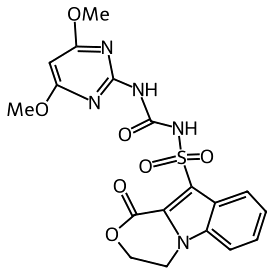 COc1cc(OC)nc(NC(=O)NS(=O)(=O)c2c3n(c4ccccc24)CCOC3=O)n1